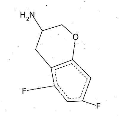 NC1COc2cc(F)cc(F)c2C1